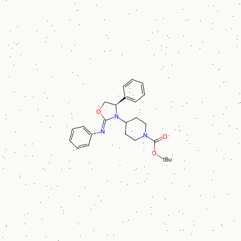 CC(C)(C)OC(=O)N1CCC(N2C(=Nc3ccccc3)OC[C@H]2c2ccccc2)CC1